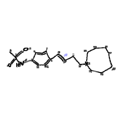 CS(=O)(=O)Nc1ccc(/C=C/CCN2CCCCCCC2)cc1